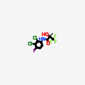 C[C@@](O)(C(=O)Nc1ccc(I)c(Cl)c1Cl)C(F)(F)F